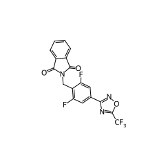 O=C1c2ccccc2C(=O)N1Cc1c(F)cc(-c2noc(C(F)(F)F)n2)cc1F